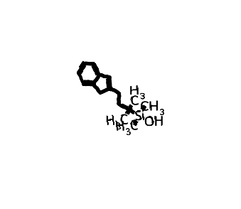 CC(C)(CCC1=Cc2ccccc2C1)[Si](C)(C)O